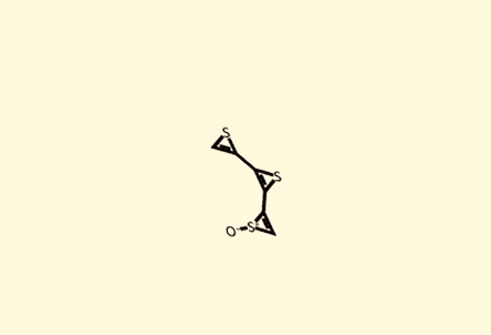 [O-][S+]1C=C1C1=C(C2=CS2)S1